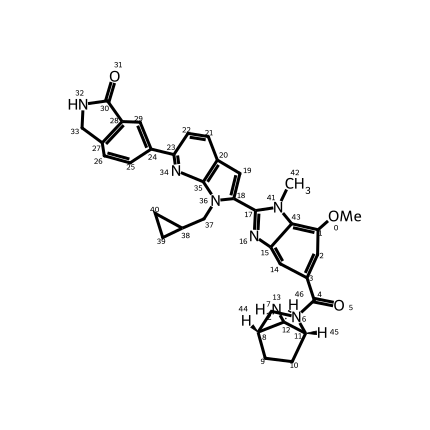 COc1cc(C(=O)N2C[C@H]3CC[C@@H]2[C@@H]3N)cc2nc(-c3cc4ccc(-c5ccc6c(c5)C(=O)NC6)nc4n3CC3CC3)n(C)c12